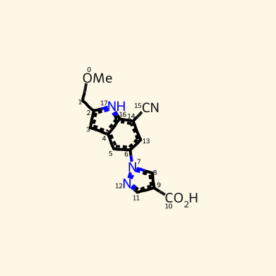 COCc1cc2cc(-n3cc(C(=O)O)cn3)cc(C#N)c2[nH]1